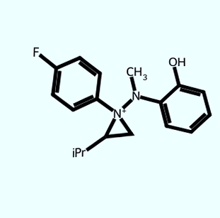 CC(C)C1C[N+]1(c1ccc(F)cc1)N(C)c1ccccc1O